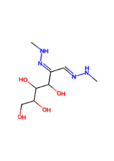 CN/N=C/C(=N\NC)C(O)C(O)C(O)CO